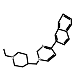 CCN1CCC(CN2C=CC(c3ccc4ccccc4c3)=NC2)CC1